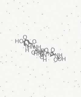 O=C(O)NC1CN(C(=O)NS(=O)(=O)NNC(=O)NNC(=O)c2cc(=O)c(O)c[nH]2)C1=O